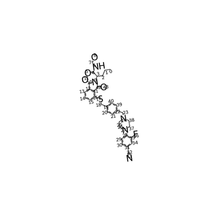 CCCC(C(=O)NC=O)N1C(=O)c2cccc(SCc3ccc(CN4CCN(c5ccc(C#N)cc5F)CC4)cc3)c2C1=O